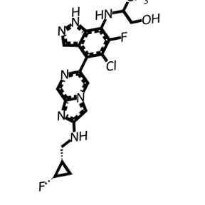 CC(CO)Nc1c(F)c(Cl)c(-c2cn3cc(NC[C@@H]4C[C@@H]4F)nc3cn2)c2cn[nH]c12